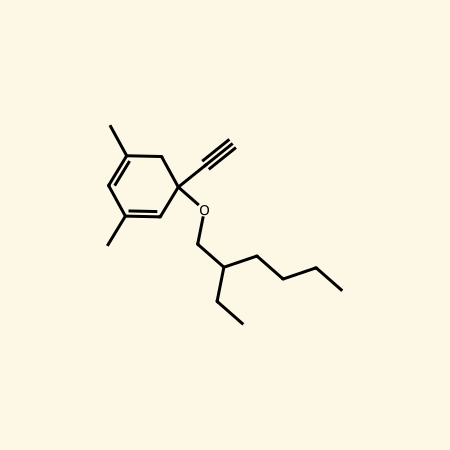 C#CC1(OCC(CC)CCCC)C=C(C)C=C(C)C1